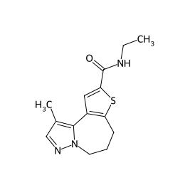 CCNC(=O)c1cc2c(s1)CCCn1ncc(C)c1-2